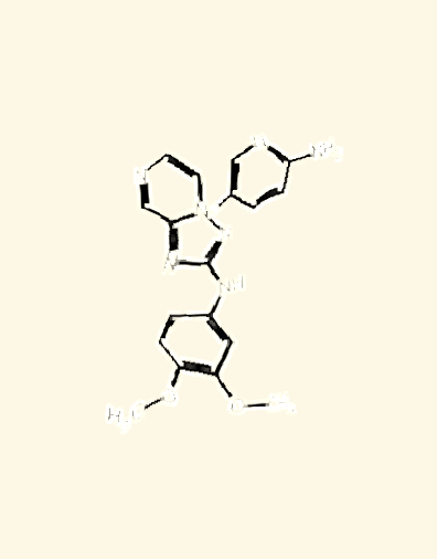 COc1ccc(NC2=N[N+]3(c4ccc(N)nc4)C=CN=CC3=N2)cc1OC